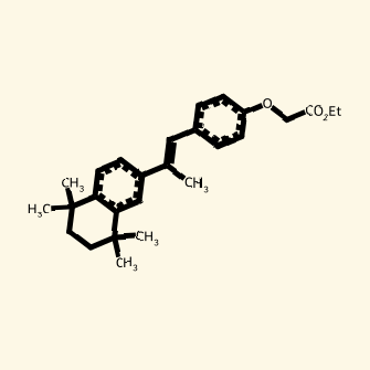 CCOC(=O)COc1ccc(/C=C(\C)c2ccc3c(c2)C(C)(C)CCC3(C)C)cc1